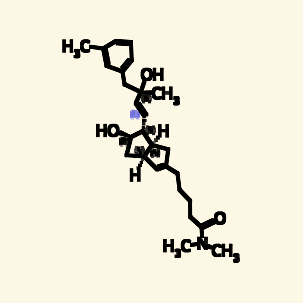 Cc1cccc(C[C@](C)(O)/C=C/[C@@H]2[C@H]3CC(CCCCC(=O)N(C)C)=C[C@H]3C[C@H]2O)c1